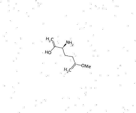 C=C(CC[C@H](N)C(=C)O)OC